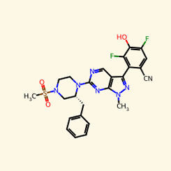 Cn1nc(-c2c(C#N)cc(F)c(O)c2F)c2cnc(N3CCN(S(C)(=O)=O)C[C@H]3Cc3ccccc3)nc21